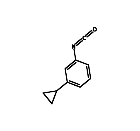 O=C=Nc1cccc(C2CC2)c1